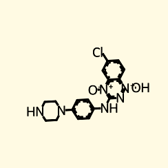 [O-][n+]1c(Nc2ccc(N3CCNCC3)cc2)n[n+](O)c2ccc(Cl)cc21